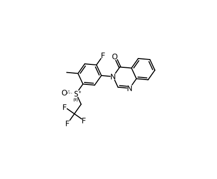 Cc1cc(F)c(-n2cnc3ccccc3c2=O)cc1[S@@+]([O-])CC(F)(F)F